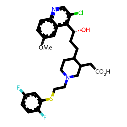 COc1ccc2ncc(Cl)c([C@H](O)CCC3CCN(CCSc4cc(F)ccc4F)CC3CC(=O)O)c2c1